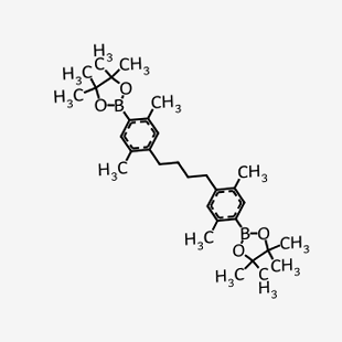 Cc1cc(B2OC(C)(C)C(C)(C)O2)c(C)cc1CCCCc1cc(C)c(B2OC(C)(C)C(C)(C)O2)cc1C